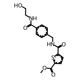 COC(=O)c1ccc(C(=O)NCc2ccc(C(=O)NCCO)cc2)s1